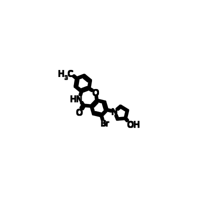 Cc1ccc2c(c1)NC(=O)c1cc(Br)c(N3CCC(O)C3)cc1O2